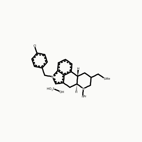 CCCN1CC(CSC)C[C@H]2c3cccc4c3c(cn4Cc3ccc(Cl)cc3)C[C@@H]21.O=S(=O)(O)O